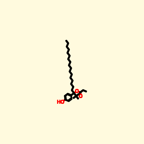 CCCCCCCCCCCCCCCCCC(OC(=O)CC)(c1ccc(O)cc1)C(C)(C)C